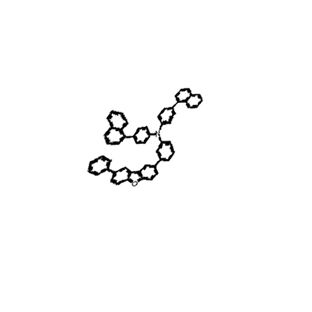 c1ccc(-c2ccc3oc4ccc(-c5cccc(N(c6ccc(-c7cccc8ccccc78)cc6)c6ccc(-c7cccc8ccccc78)cc6)c5)cc4c3c2)cc1